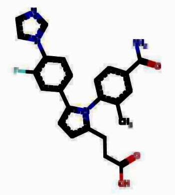 Cc1cc(C(N)=O)ccc1-n1c(CCC(=O)O)ccc1-c1ccc(-n2ccnc2)c(F)c1